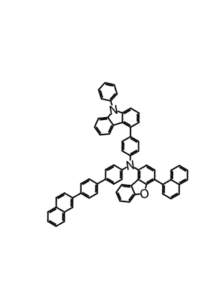 c1ccc(-n2c3ccccc3c3c(-c4ccc(N(c5ccc(-c6ccc(-c7ccc8ccccc8c7)cc6)cc5)c5ccc(-c6cccc7ccccc67)c6oc7ccccc7c56)cc4)cccc32)cc1